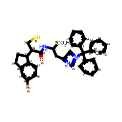 O=C(O)C(Cc1cn(C(c2ccccc2)(c2ccccc2)c2ccccc2)cn1)NC(=O)C(CS)C1CCc2cc(Br)ccc21